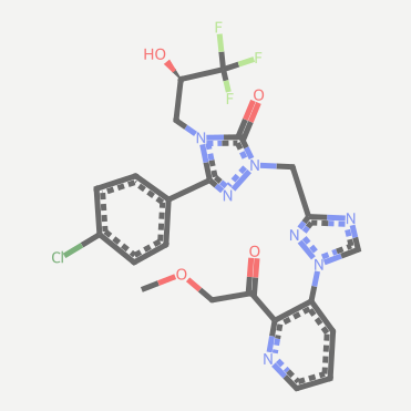 COCC(=O)c1ncccc1-n1cnc(Cn2nc(-c3ccc(Cl)cc3)n(C[C@@H](O)C(F)(F)F)c2=O)n1